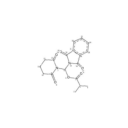 CC(C)C(=O)OC(N1C(=O)CCCC1=O)N1C(=O)c2ccccc2C1=O